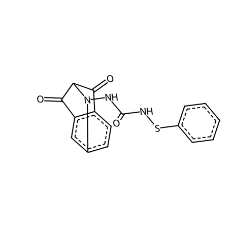 O=C(NSc1ccccc1)NN1c2ccc3c(c2)C(=O)C1C3=O